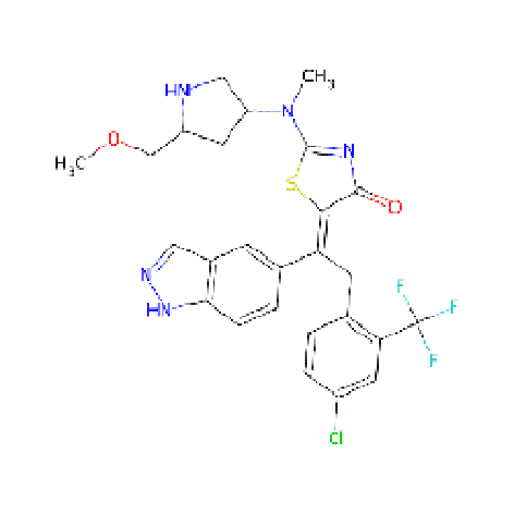 COCC1CC(N(C)C2=NC(=O)C(=C(Cc3ccc(Cl)cc3C(F)(F)F)c3ccc4[nH]ncc4c3)S2)CN1